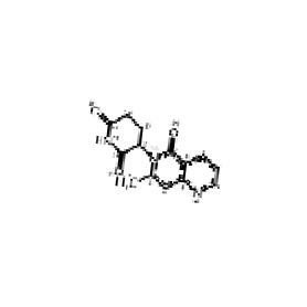 Cc1cc2ncccc2c(=O)n1C1CCC(=O)NC1=O